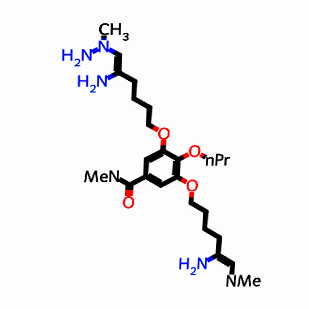 CCCOc1c(OCCCC/C(N)=C/NC)cc(C(=O)NC)cc1OCCCC/C(N)=C/N(C)N